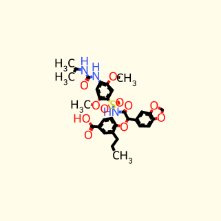 CCCc1cc(C(=O)O)ccc1OC(C(=O)NS(=O)(=O)c1cc(OC)c(NC(=O)NC(C)C)cc1OC)c1ccc2c(c1)OCO2